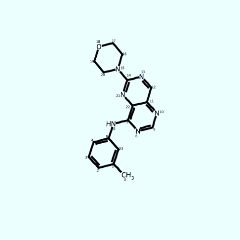 Cc1cccc(Nc2ncnc3cnc(N4CCOCC4)nc23)c1